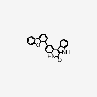 O=c1[nH]c2ccc(-c3cccc4c3oc3ccccc34)cc2c2c1[nH]c1ccccc12